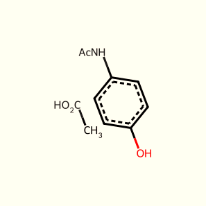 CC(=O)Nc1ccc(O)cc1.CC(=O)O